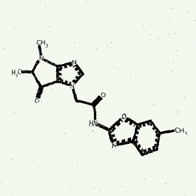 Cc1ccc2nc(NC(=O)Cn3cnc4c3C(=O)C(C)N4C)oc2c1